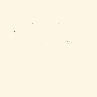 C=C/C=N\CC(NC(=O)c1cnc(C2CC2(F)F)cc1Oc1ccc(OC(F)(F)F)cc1OC)OC